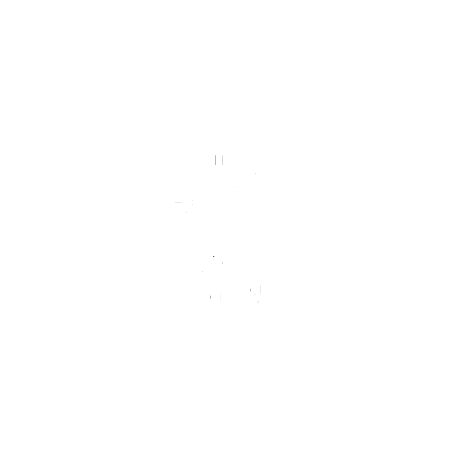 C=C(C)c1ccccc1C[SiH](OC)OC